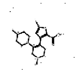 COC(=O)c1sc(I)cc1C1=C(C2CCC(C)CC2)CN(C)CC1